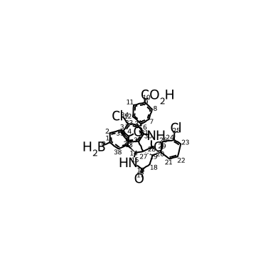 Bc1ccc(Oc2ccc(C(=O)O)cc2)c([C@@H]2NC(=O)CC([C@@H]3C=CC=C(Cl)C3)[C@]23C(=O)Nc2cc(Cl)ccc23)c1